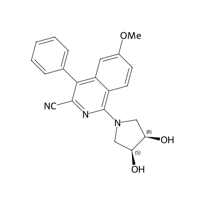 COc1ccc2c(N3C[C@@H](O)[C@@H](O)C3)nc(C#N)c(-c3ccccc3)c2c1